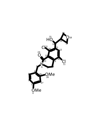 COc1ccc(CN2CCc3c(Cl)cc(C(O)C4COC4)c(Cl)c3C2=O)c(OC)c1